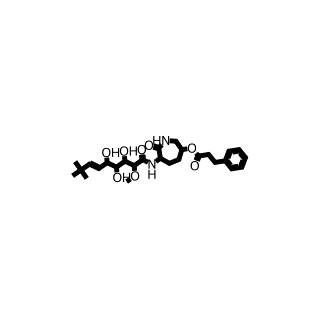 COC(C(=O)NC1CCC(OC(=O)CCc2ccccc2)CNC1=O)C(O)C(O)C(O)/C=C/C(C)(C)C